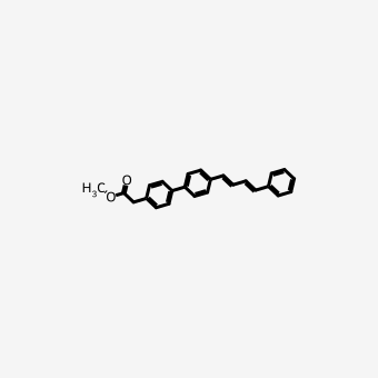 COC(=O)Cc1ccc(-c2ccc(C=CC=Cc3ccccc3)cc2)cc1